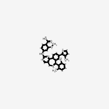 COc1cc(Nc2ncc3c(n2)-c2ccc(-c4occc4C)cc2C(c2c(C)cccc2F)=NC3)ccc1C(=O)O